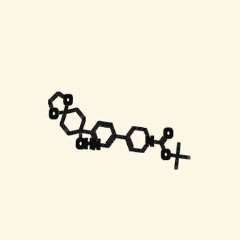 CC(C)(C)OC(=O)N1CC=C(c2ccc(C3(O)CCC4(CC3)OCCO4)nc2)CC1